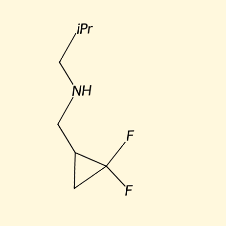 CC(C)CNCC1CC1(F)F